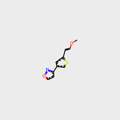 COC=Cc1cc(-c2ccon2)cs1